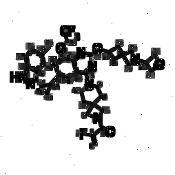 C=C(F)C(=O)N1CC2(CCN(c3nc(OC4CC5(C4)CN(C4COC4)C5)nc4c(OCC(F)(F)F)c(-c5c(C)ccc6[nH]ncc56)c(C5CC5)cc34)CC2)C1